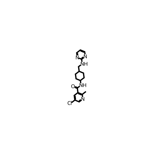 Cc1ncc(Cl)cc1C(=O)NC1CCC(CNc2ncccn2)CC1